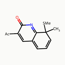 CSC1(C)C=CC=C2C=C(C(C)=O)C(=O)N=C21